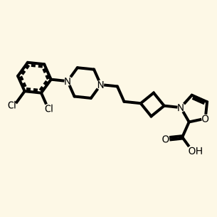 O=C(O)C1OC=CN1C1CC(CCN2CCN(c3cccc(Cl)c3Cl)CC2)C1